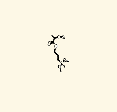 CO[Si](C)(CCCOC(=O)C(C)=C=S)OC